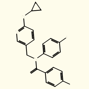 O=C(c1ccc(Cl)cc1)N(Cc1ccc(NC2CC2)nc1)c1ccc(F)cc1